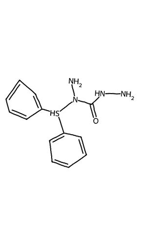 NNC(=O)N(N)[SH](c1ccccc1)c1ccccc1